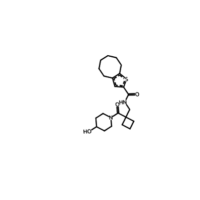 O=C(NCC1(C(=O)N2CCC(O)CC2)CCC1)c1cc2c(s1)CCCCCC2